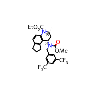 CCOC(=O)N1c2ccc3c(c2[C@@H](N(Cc2cc(C(F)(F)F)cc(C(F)(F)F)c2)C(=O)OC)C[C@H]1C)CCC3